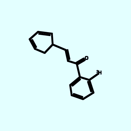 [2H]c1ccccc1C(=O)/C=C/C1C=CC=CC1